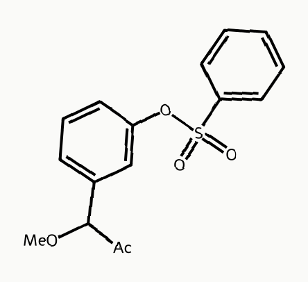 COC(C(C)=O)c1cccc(OS(=O)(=O)c2ccccc2)c1